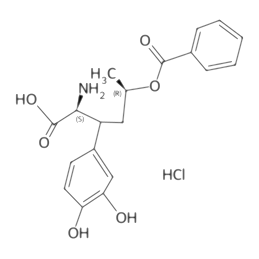 C[C@H](CC(c1ccc(O)c(O)c1)[C@H](N)C(=O)O)OC(=O)c1ccccc1.Cl